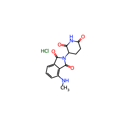 CNc1cccc2c1C(=O)N(C1CCC(=O)NC1=O)C2=O.Cl